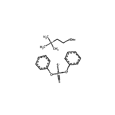 CCCCCCCCCCCC[N+](C)(C)C.S=P([S-])(Oc1ccccc1)Oc1ccccc1